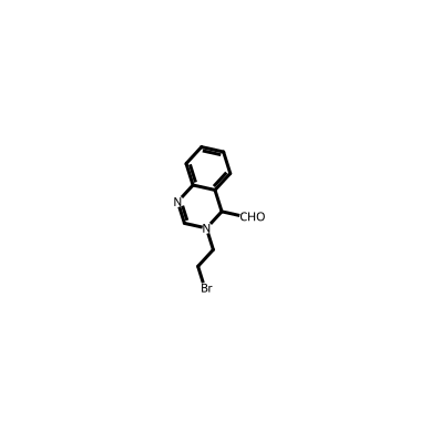 O=CC1c2ccccc2N=CN1CCBr